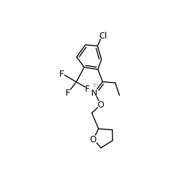 CC/C(=N\OCC1CCCO1)c1cc(Cl)ccc1C(F)(F)F